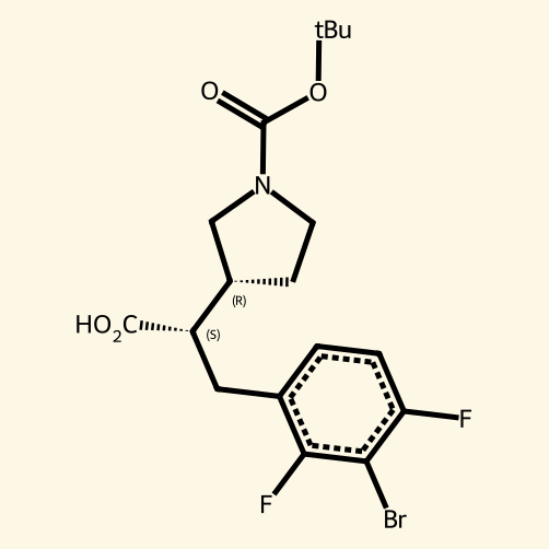 CC(C)(C)OC(=O)N1CC[C@H]([C@H](Cc2ccc(F)c(Br)c2F)C(=O)O)C1